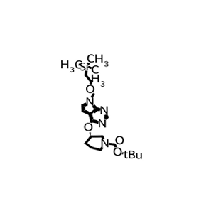 CC(C)(C)OC(=O)N1CCC[C@H](Oc2ncnc3c2ccn3COCC[Si](C)(C)C)C1